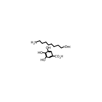 CCCCCCCCCCCCCCCCCCN.O=C(O)c1cc(O)c(O)c(O)c1